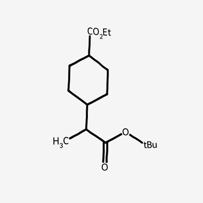 CCOC(=O)C1CCC(C(C)C(=O)OC(C)(C)C)CC1